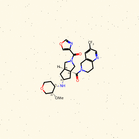 CO[C@@H]1COCC[C@@H]1N[C@@H]1C[C@H]2CN(C(=O)c3cocn3)C[C@@]2(C(=O)N2CCc3ncc(C(F)(F)F)cc3C2)C1